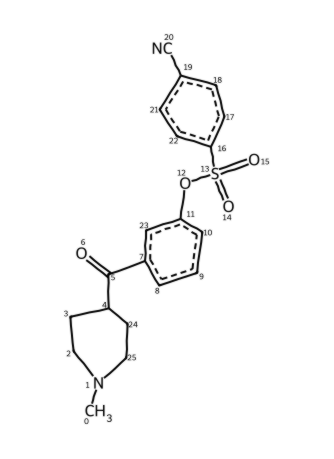 CN1CCC(C(=O)c2cccc(OS(=O)(=O)c3ccc(C#N)cc3)c2)CC1